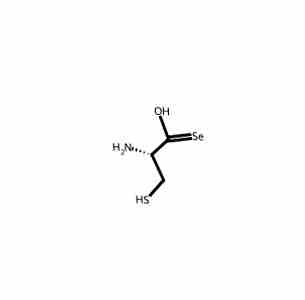 N[C@@H](CS)C(O)=[Se]